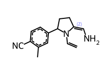 C=CN1/C(=C\N)CCC1c1ccc(C#N)c(C)c1